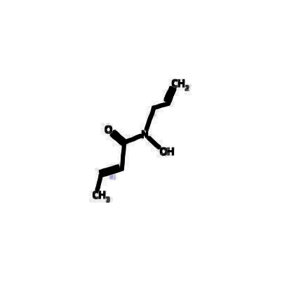 C=CCN(O)C(=O)/C=C/C